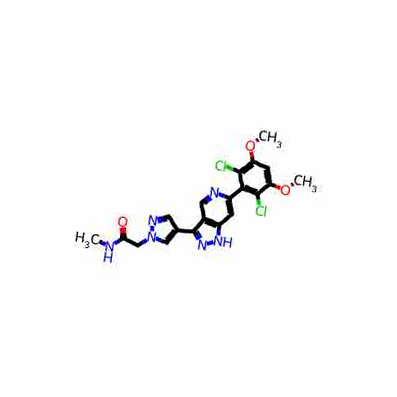 CNC(=O)Cn1cc(-c2n[nH]c3cc(-c4c(Cl)c(OC)cc(OC)c4Cl)ncc23)cn1